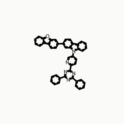 c1ccc(-c2nc(-c3ccccc3)nc(-c3ccc(-n4c5ccccc5c5ccc(-c6ccc7c(c6)oc6ccccc67)cc54)cn3)n2)cc1